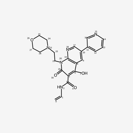 C=CNC(=O)c1c(O)c2cc(-c3cccnc3)cnc2n(CCN2CCOCC2)c1=O